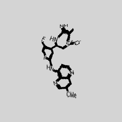 COc1cnc2c(Nc3cc(C4C[S+]([O-])C(C)C(=N)N4)c(F)cn3)ccnc2c1